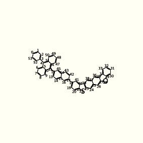 c1ccc(-c2c3ccccc3c(-c3ccc4cc(-c5ccc6sc7cc8cc9oc%10ccccc%10c9cc8cc7c6c5)ccc4c3)c3ccccc23)cc1